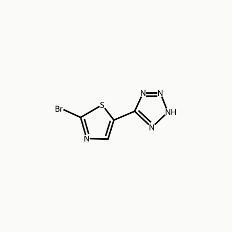 Brc1ncc(-c2nn[nH]n2)s1